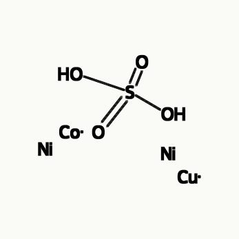 O=S(=O)(O)O.[Co].[Cu].[Ni].[Ni]